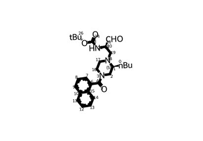 CCCC[C@H]1CN(C(=O)c2cccc3ccccc23)CCN1C[C@H](C=O)NC(=O)OC(C)(C)C